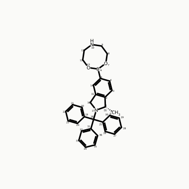 C[C@H]1c2ccc(B3OCCNCCO3)cc2CN1C(c1ccccc1)(c1ccccc1)c1ccccc1